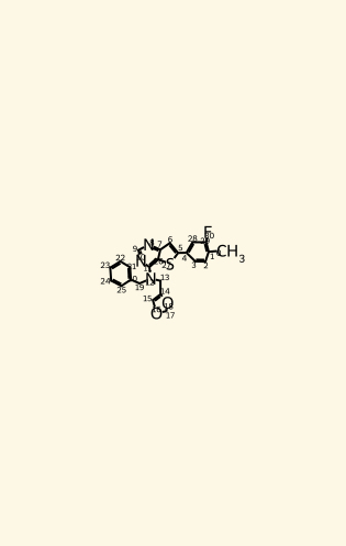 Cc1ccc(-c2cc3ncnc(N(CC4=COCO4)Cc4ccccc4)c3s2)cc1F